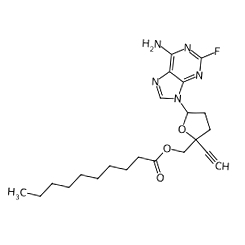 C#CC1(COC(=O)CCCCCCCCC)CCC(n2cnc3c(N)nc(F)nc32)O1